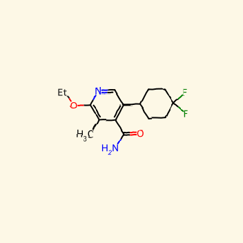 CCOc1ncc(C2CCC(F)(F)CC2)c(C(N)=O)c1C